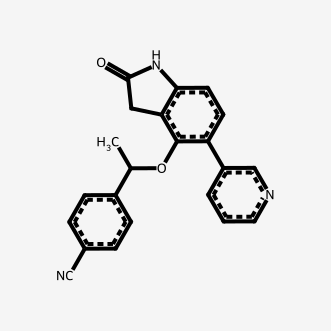 CC(Oc1c(-c2cccnc2)ccc2c1CC(=O)N2)c1ccc(C#N)cc1